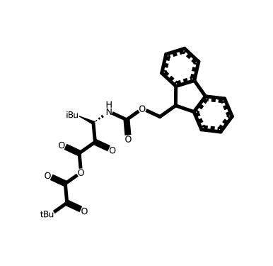 CC[C@H](C)[C@H](NC(=O)OCC1c2ccccc2-c2ccccc21)C(=O)C(=O)OC(=O)C(=O)C(C)(C)C